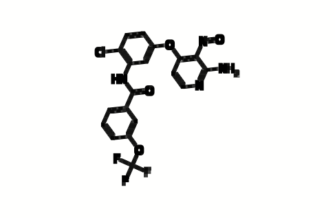 Nc1nccc(Oc2ccc(Cl)c(NC(=O)c3cccc(OC(F)(F)F)c3)c2)c1N=O